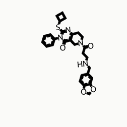 O=C(CCNCc1ccc2c(c1)OCO2)N1CCc2nc(SC3CCC3)n(-c3ccccc3)c(=O)c2C1